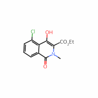 CCOC(=O)c1c(O)c2c(Cl)cccc2c(=O)n1C